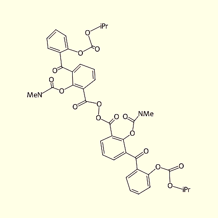 CNC(=O)Oc1c(C(=O)OOC(=O)c2cccc(C(=O)c3ccccc3OC(=O)OC(C)C)c2OC(=O)NC)cccc1C(=O)c1ccccc1OC(=O)OC(C)C